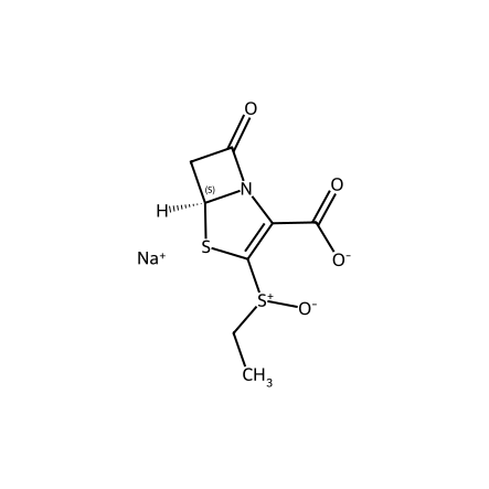 CC[S+]([O-])C1=C(C(=O)[O-])N2C(=O)C[C@@H]2S1.[Na+]